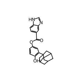 O=C(Oc1ccc(O)c(C23CC4CC(CC(C4)C2)C3)c1)c1ccc2[nH]cnc2c1